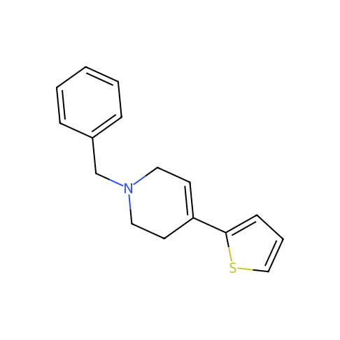 C1=C(c2cccs2)CCN(Cc2ccccc2)C1